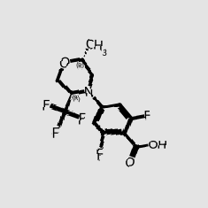 C[C@@H]1CN(c2cc(F)c(C(=O)O)c(F)c2)[C@@H](C(F)(F)F)CO1